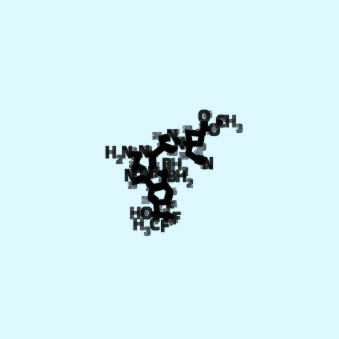 BC(B)(B)c1ccc(C(C)(O)C(F)(F)F)cc1-c1cnc2c(N)nc(-c3cnn(C4(CC#N)CC(C(=O)OC)C4)c3)cn12